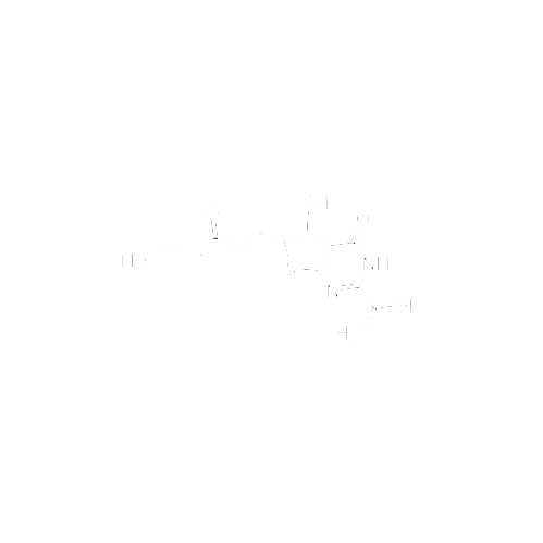 C=C(O)c1nc2sc(CCC(=O)OCC)c(C)c2c(=O)[nH]1